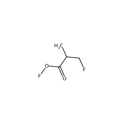 CC(CF)C(=O)OF